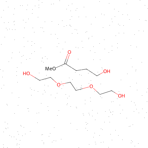 COC(=O)CCCO.OCCOCCOCCO